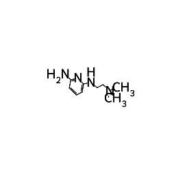 CN(C)CCNc1cccc(N)n1